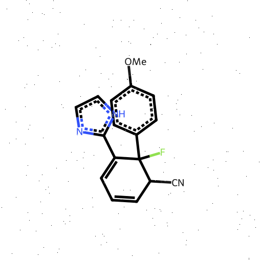 COc1ccc(C2(F)C(c3ncc[nH]3)=CC=CC2C#N)cc1